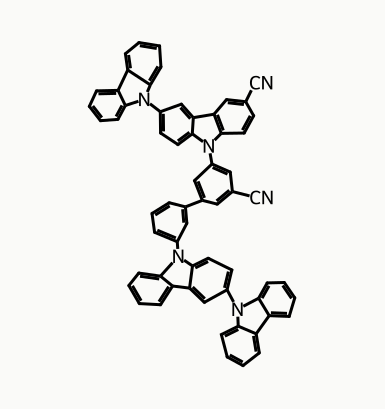 N#Cc1cc(-c2cccc(-n3c4ccccc4c4cc(-n5c6ccccc6c6ccccc65)ccc43)c2)cc(-n2c3ccc(C#N)cc3c3cc(-n4c5ccccc5c5ccccc54)ccc32)c1